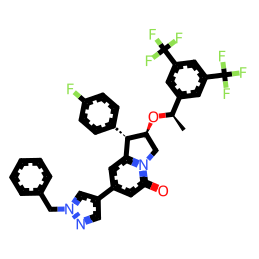 C[C@@H](O[C@H]1Cn2c(cc(-c3cnn(Cc4ccccc4)c3)cc2=O)[C@@H]1c1ccc(F)cc1)c1cc(C(F)(F)F)cc(C(F)(F)F)c1